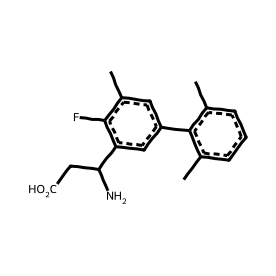 Cc1cc(-c2c(C)cccc2C)cc(C(N)CC(=O)O)c1F